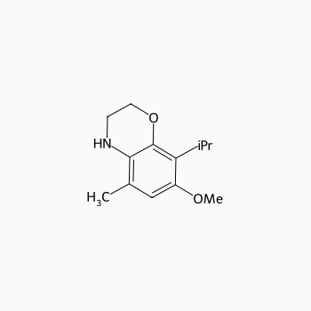 COc1cc(C)c2c(c1C(C)C)OCCN2